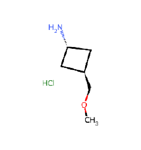 COC[C@H]1C[C@H](N)C1.Cl